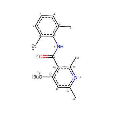 CCc1cccc(C)c1NC(=O)c1c(OCC(C)C)cc(C)nc1C